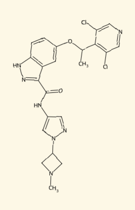 CC(Oc1ccc2[nH]nc(C(=O)Nc3cnn(C4CN(C)C4)c3)c2c1)c1c(Cl)cncc1Cl